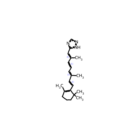 CC1=C(/C=C/C(C)=C/C=C/C(C)=C/c2ncn[nH]2)C(C)(C)CCC1